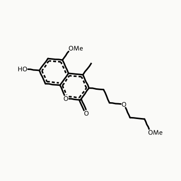 COCCOCCc1c(C)c2c(OC)cc(O)cc2oc1=O